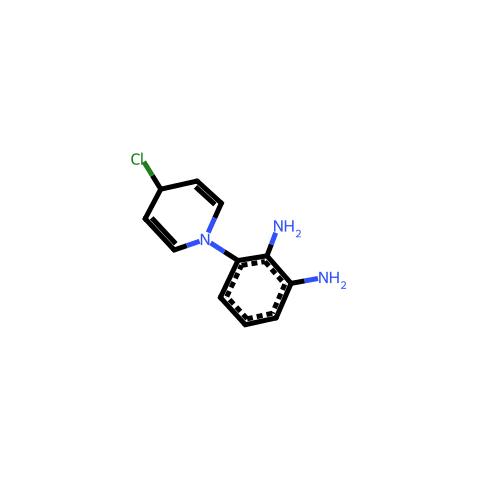 Nc1cccc(N2C=CC(Cl)C=C2)c1N